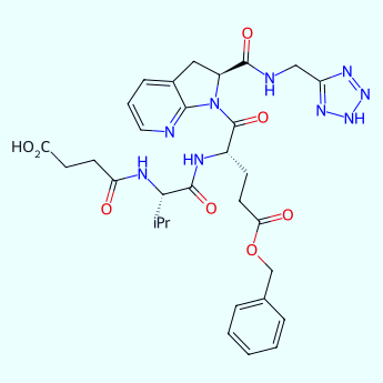 CC(C)[C@H](NC(=O)CCC(=O)O)C(=O)N[C@@H](CCC(=O)OCc1ccccc1)C(=O)N1c2ncccc2C[C@H]1C(=O)NCc1nn[nH]n1